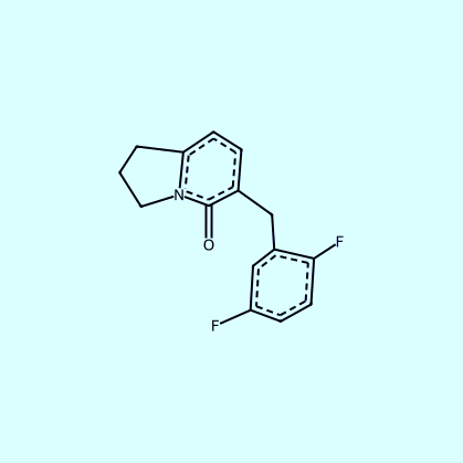 O=c1c(Cc2cc(F)ccc2F)ccc2n1CCC2